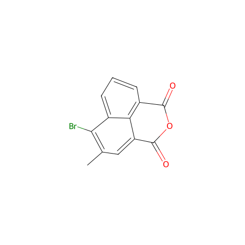 Cc1cc2c3c(cccc3c1Br)C(=O)OC2=O